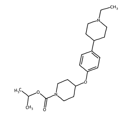 CCN1CCC(c2ccc(OC3CCN(C(=O)OC(C)C)CC3)cc2)CC1